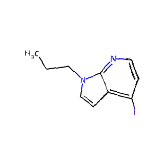 CCCn1ccc2c(I)ccnc21